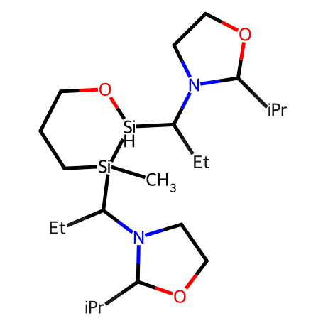 CCC(N1CCOC1C(C)C)[SiH]1OCCC[Si]1(C)C(CC)N1CCOC1C(C)C